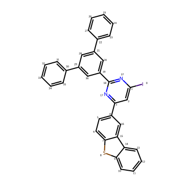 Ic1cc(-c2ccc3sc4ccccc4c3c2)nc(-c2cc(-c3ccccc3)cc(-c3ccccc3)c2)n1